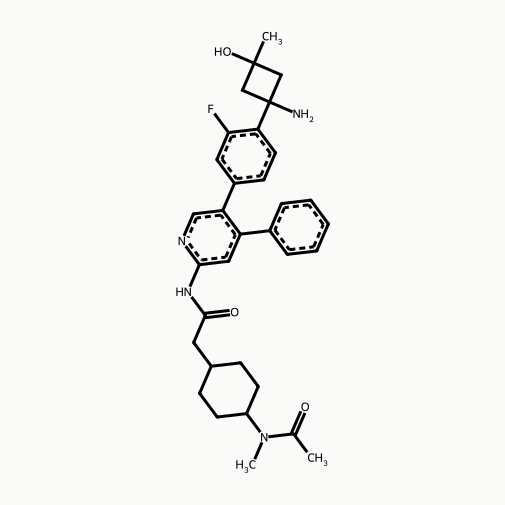 CC(=O)N(C)C1CCC(CC(=O)Nc2cc(-c3ccccc3)c(-c3ccc(C4(N)CC(C)(O)C4)c(F)c3)cn2)CC1